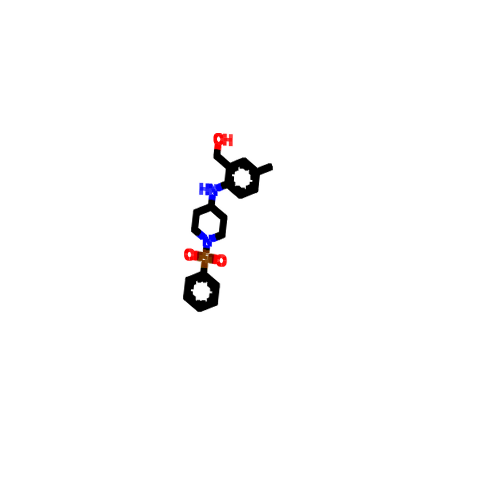 Cc1ccc(NC2CCN(S(=O)(=O)c3ccccc3)CC2)c(CO)c1